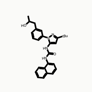 CC(O)Cc1cccc(-n2nc(C(C)(C)C)cc2NC(=O)Nc2cccc3ccccc23)c1